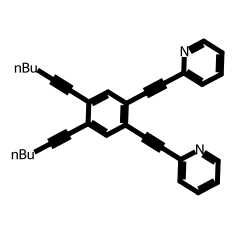 [CH2]CCCC#Cc1cc(C#Cc2ccccn2)c(C#Cc2ccccn2)cc1C#CCCC[CH2]